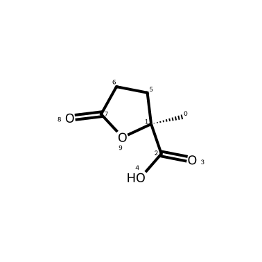 C[C@@]1(C(=O)O)CCC(=O)O1